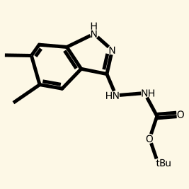 Cc1cc2[nH]nc(NNC(=O)OC(C)(C)C)c2cc1C